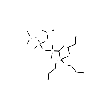 CCCO[Si](OCCC)(OCCC)C(C)[Si](C)(C)O[Si](C)(O[SiH](C)C)O[SiH](C)C